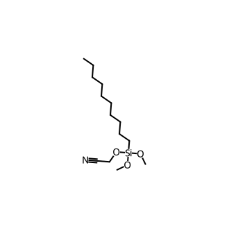 CCCCCCCCCC[Si](OC)(OC)OCC#N